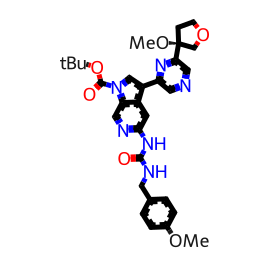 COc1ccc(CNC(=O)Nc2cc3c(-c4cncc([C@]5(OC)CCOC5)n4)cn(C(=O)OC(C)(C)C)c3cn2)cc1